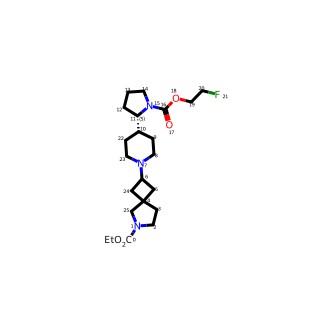 CCOC(=O)N1CCC2(CC(N3CCC([C@@H]4CCCN4C(=O)OCCF)CC3)C2)C1